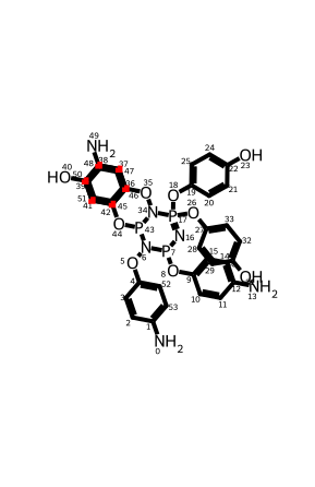 Nc1ccc(ON2P(Oc3ccc(N)cc3)N=P(Oc3ccc(O)cc3)(Oc3ccc(O)cc3)N(Oc3ccc(O)cc3)P2Oc2ccc(N)cc2)cc1